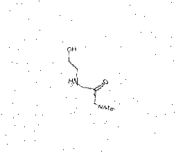 C[N]CC(=O)NCCO